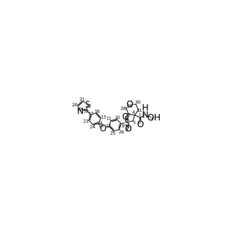 O=C(NO)C1(CS(=O)(=O)c2ccc(Oc3ccc(-c4nccs4)cc3)cc2)CCOCC1